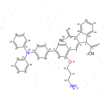 C=C(C#N)C1C(=Cc2ccc(-c3ccc(N(c4ccccc4)c4ccccc4)cc3)cc2OCCCN)C(C(=C)C#N)c2ccccc21